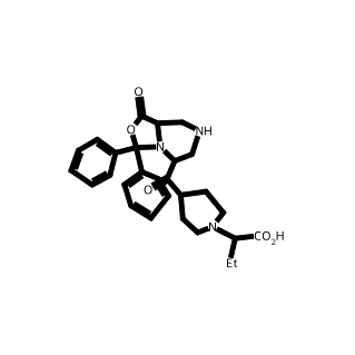 CCC(C(=O)O)N1CCC(C(=O)C2CNCC3C(=O)OC(c4ccccc4)(c4ccccc4)N32)CC1